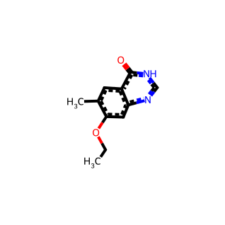 CCOc1cc2nc[nH]c(=O)c2cc1C